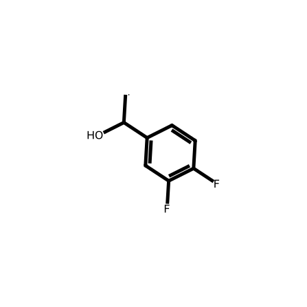 [CH2]C(O)c1ccc(F)c(F)c1